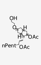 CCCCCC(C=C[C@@H]1[C@@H]2C[C@@H](OCCO)C[C@H]2C[C@H]1OC(C)=O)OC(C)=O